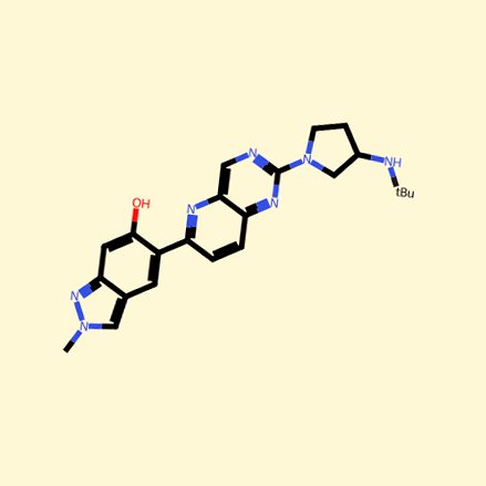 Cn1cc2cc(-c3ccc4nc(N5CCC(NC(C)(C)C)C5)ncc4n3)c(O)cc2n1